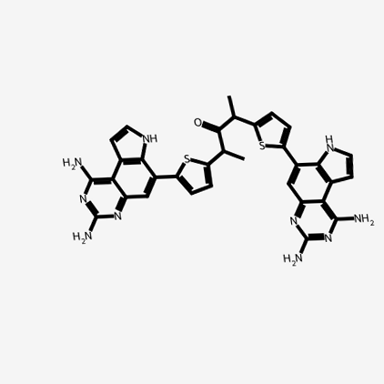 CC(C(=O)C(C)c1ccc(-c2cc3nc(N)nc(N)c3c3cc[nH]c23)s1)c1ccc(-c2cc3nc(N)nc(N)c3c3cc[nH]c23)s1